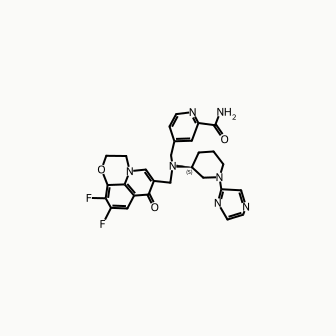 NC(=O)c1cc(CN(Cc2cn3c4c(c(F)c(F)cc4c2=O)OCC3)[C@H]2CCCN(c3cnccn3)C2)ccn1